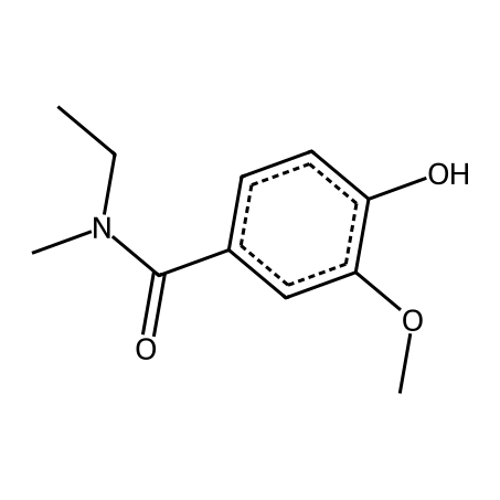 CCN(C)C(=O)c1ccc(O)c(OC)c1